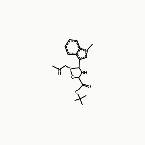 CNCN1OC(C(=O)OC(C)(C)C)NC1c1cn(C)c2ccccc12